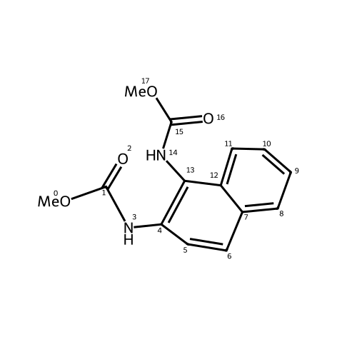 COC(=O)Nc1ccc2ccccc2c1NC(=O)OC